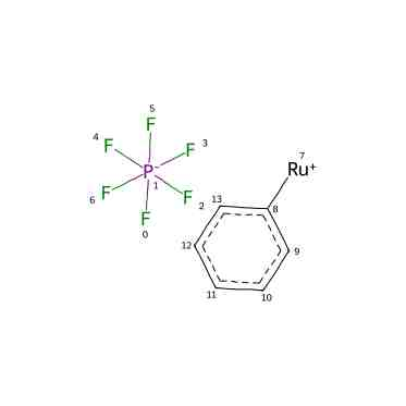 F[P-](F)(F)(F)(F)F.[Ru+][c]1ccccc1